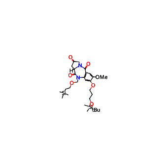 COc1cc2c(cc1OCCCO[Si](C)(C)C(C)(C)C)N(COCC[Si](C)(C)C)C(=O)[C@@H]1CC(=O)CN1C2=O